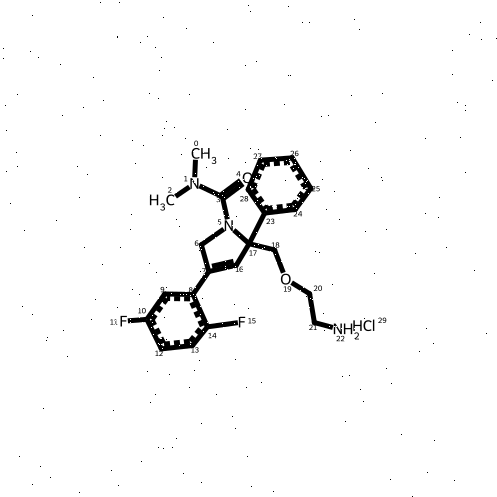 CN(C)C(=O)N1CC(c2cc(F)ccc2F)=CC1(COCCN)c1ccccc1.Cl